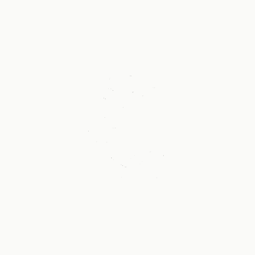 CCC(=O)n1nc(-c2cccc(-c3cc(-c4ccccc4)n(C(=O)CC)n3)c2)cc1-c1ccccc1